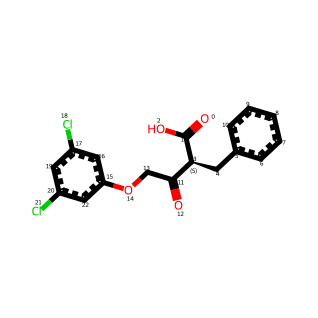 O=C(O)[C@@H](Cc1ccccc1)C(=O)COc1cc(Cl)cc(Cl)c1